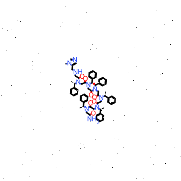 C[C@@H](c1ccccc1)N(CC(N)=O)C(=O)CN(C(=O)CN(C(=O)CN(C(=O)CN(C(=O)CN(C(=O)CNCc1cncn1C)[C@@H](C)c1ccccc1)[C@@H](C)c1ccccc1)[C@@H](C)c1ccccc1)[C@@H](C)c1ccccc1)[C@@H](C)c1ccccc1